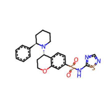 O=S(=O)(Nc1ncns1)c1ccc2c(c1)OCC[C@@H]2N1CCCC[C@@H]1c1ccccc1